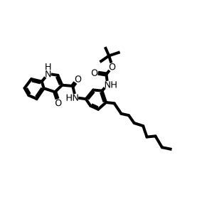 CCCCCCCCCc1ccc(NC(=O)c2c[nH]c3ccccc3c2=O)cc1NC(=O)OC(C)(C)C